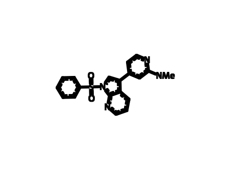 CNc1cc(-c2cn(S(=O)(=O)c3ccccc3)c3ncccc23)ccn1